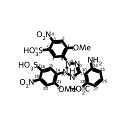 COc1cc([N+](=O)[O-])c(S(=O)(=O)O)cc1N1N=CNN1c1cc(S(=O)(=O)O)c([N+](=O)[O-])cc1OC.Nc1cccc(C(=O)O)c1